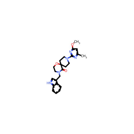 COc1cc(C)nc(N2CCC3(CC2)OCCN(Cc2c[nH]c4ccccc24)C3=O)n1